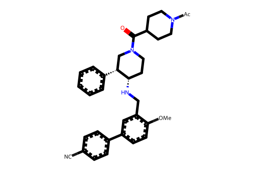 COc1ccc(-c2ccc(C#N)cc2)cc1CN[C@H]1CCN(C(=O)C2CCN(C(C)=O)CC2)C[C@H]1c1ccccc1